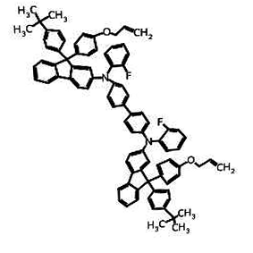 C=CCOc1ccc(C2(c3ccc(C(C)(C)C)cc3)c3ccccc3-c3ccc(N(c4ccc(-c5ccc(N(c6ccc7c(c6)C(c6ccc(OCC=C)cc6)(c6ccc(C(C)(C)C)cc6)c6ccccc6-7)c6ccccc6F)cc5)cc4)c4ccccc4F)cc32)cc1